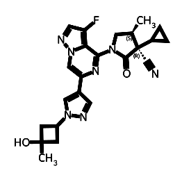 C[C@@H]1CN(c2nc(-c3cnn(C4CC(C)(O)C4)c3)cn3ncc(F)c23)C(=O)[C@]1(C#N)C1CC1